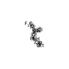 CCS(=O)(=O)c1ccc(CNC(=O)c2ccc(N3CC(c4ccc(C(F)(F)F)cc4)C[C@H]3CN3CCCCC3)cc2)cc1